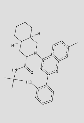 Cc1ccc2c(N3C[C@@H]4CCCC[C@@H]4C[C@H]3C(=O)NC(C)(C)C)nc(-c3ccccc3O)nc2c1